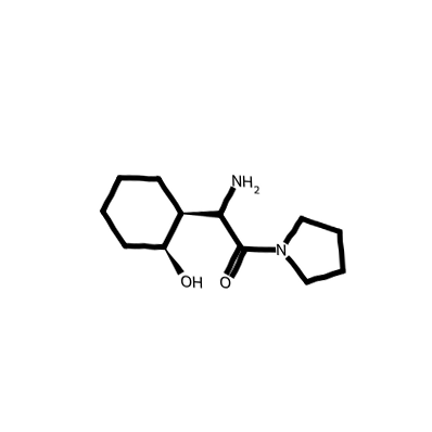 NC(C(=O)N1CCCC1)[C@@H]1CCCC[C@@H]1O